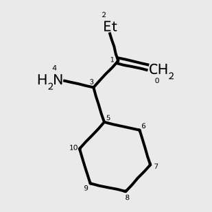 C=C(CC)C(N)C1CCCCC1